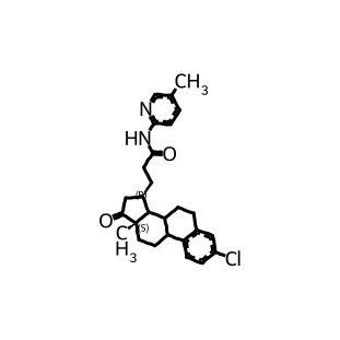 Cc1ccc(NC(=O)CC[C@@H]2CC(=O)[C@@]3(C)CCC4c5ccc(Cl)cc5CCC4C23)nc1